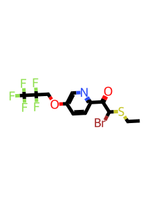 CCSC(Br)C(=O)c1ccc(OCC(F)(F)C(F)(F)F)cn1